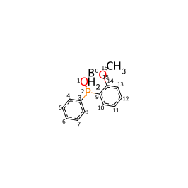 BO[P@](c1ccccc1)c1ccccc1OC